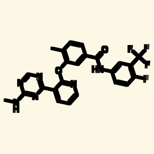 CNc1ncnc(-c2cccnc2Oc2cc(C(=O)Nc3ccc(F)c(C(F)(F)F)c3)ccc2C)n1